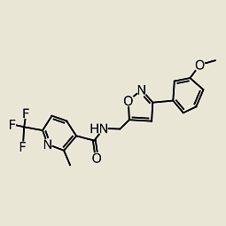 COc1cccc(-c2cc(CNC(=O)c3ccc(C(F)(F)F)nc3C)on2)c1